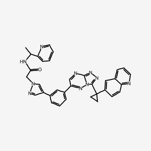 CC(NC(=O)Cn1cc(-c2cccc(-c3cnc4nnc(C5(c6ccc7ncccc7c6)CC5)n4n3)c2)cn1)c1ccccn1